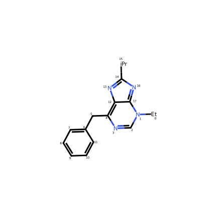 CCn1cnc(Cc2ccccc2)c2nc(C(C)C)nc1-2